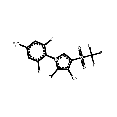 N#Cc1c(S(=O)(=O)C(F)(F)Br)cn(-c2c(Cl)cc(C(F)(F)F)cc2Cl)c1Cl